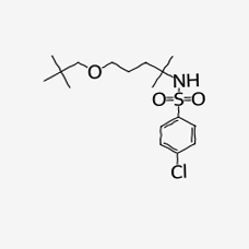 CC(C)(C)COCCCC(C)(C)NS(=O)(=O)c1ccc(Cl)cc1